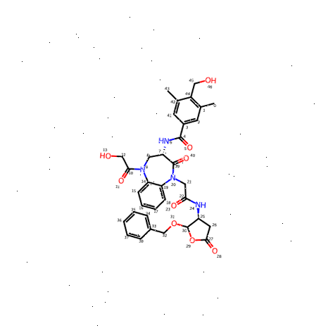 Cc1cc(C(=O)N[C@H]2CN(C(=O)CO)c3ccccc3N(CC(=O)N[C@H]3CC(=O)OC3OCc3ccccc3)C2=O)cc(C)c1CO